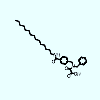 CCCCCCCCCCCCCCCNC(=O)c1ccc(CN(Cc2ccccc2)C(=O)C(=O)O)cc1